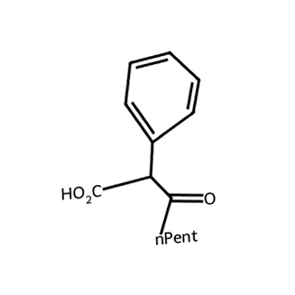 CCCCCC(=O)C(C(=O)O)c1ccccc1